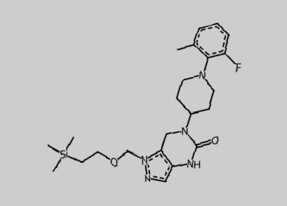 Cc1cccc(F)c1N1CCC(N2Cc3c(cnn3COCC[Si](C)(C)C)NC2=O)CC1